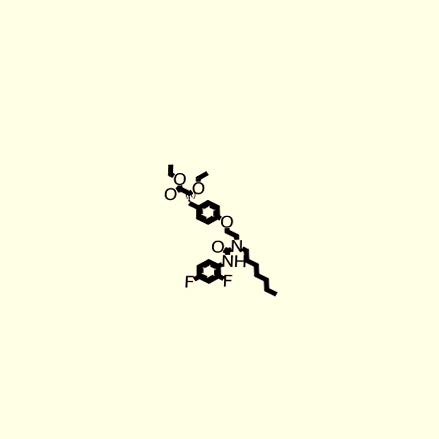 CCCCCCCN(CCOc1ccc(C[C@@H](OCC)C(=O)OCC)cc1)C(=O)Nc1ccc(F)cc1F